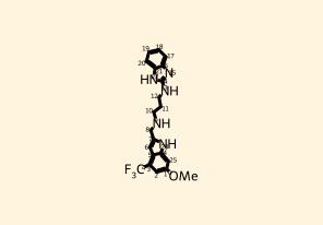 COc1cc(C(F)(F)F)c2cc(CNCCCNc3nc4ccccc4[nH]3)[nH]c2c1